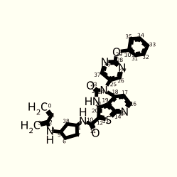 C=CC(=C)NC1CCC(NC(=O)c2sc3nccc4c3c2NC(=O)N4c2cnc(Oc3ccccc3)nc2)C1